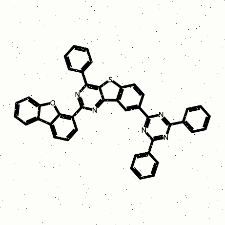 c1ccc(-c2nc(-c3ccccc3)nc(-c3ccc4sc5c(-c6ccccc6)nc(-c6cccc7c6oc6ccccc67)nc5c4c3)n2)cc1